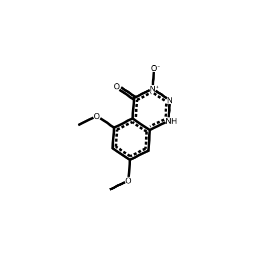 COc1cc(OC)c2c(=O)[n+]([O-])n[nH]c2c1